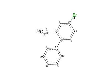 O=S(=O)(O)c1cc(Br)ccc1-c1ccccc1